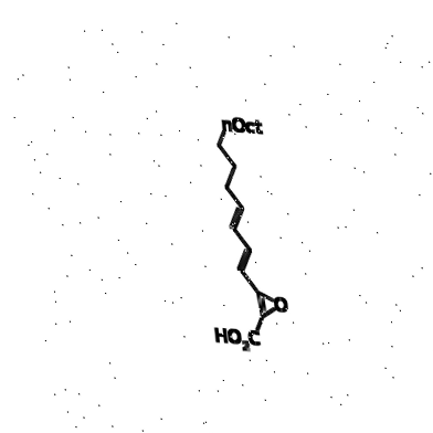 CCCCCCCCCCCC=CC=CC1=C(C(=O)O)O1